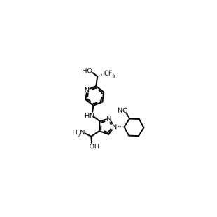 N#C[C@H]1CCCC[C@@H]1n1cc(C(N)O)c(Nc2ccc([C@H](O)C(F)(F)F)nc2)n1